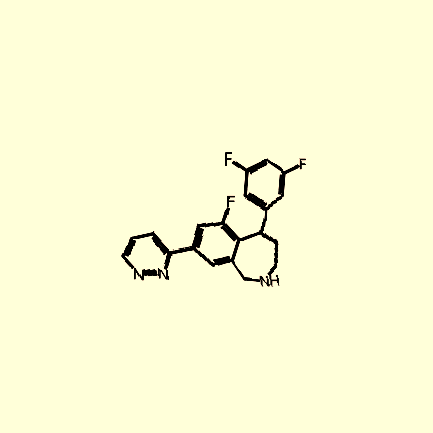 Fc1cc(F)cc(C2CCNCc3cc(-c4cccnn4)cc(F)c32)c1